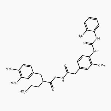 COc1cc(CC(=O)NCC(=O)N(CCC(=O)O)Cc2ccc(OC)c(OC)c2)ccc1NC(=O)Nc1ccccc1C